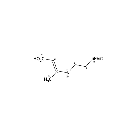 CCCCCCCNC(C)=CC(=O)O